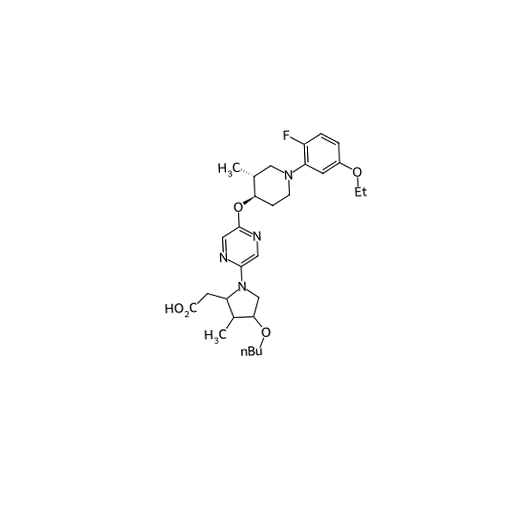 CCCCOC1CN(c2cnc(O[C@@H]3CCN(c4cc(OCC)ccc4F)C[C@H]3C)cn2)C(CC(=O)O)C1C